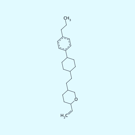 C=CC1CCC(CCC2CCC(c3ccc(CCC)cc3)CC2)CO1